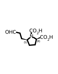 O=CCC[C@@H]1CC[C@H](C(=O)O)N1C(=O)O